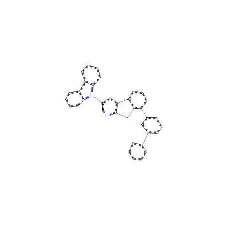 c1ccc(-c2cccc(-c3cccc4c3Cc3ncc(-n5c6ccccc6c6ccccc65)cc3-4)c2)cc1